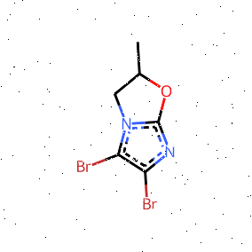 CC1Cn2c(nc(Br)c2Br)O1